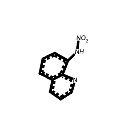 O=[N+]([O-])Nc1cccc2cccnc12